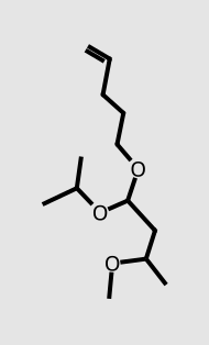 C=CCCCOC(CC(C)OC)OC(C)C